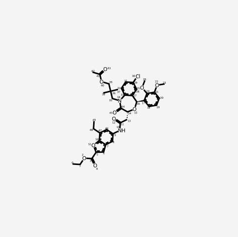 CCOC(=O)c1cc2cc(NC(=O)C[C@H]3O[C@H](c4cccc(OC)c4OC)c4cc(Cl)ccc4N(CC(C)(C)COC(C)=O)C3=O)cc(CC)c2o1